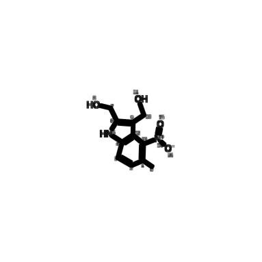 Cc1ccc2[nH]c(CO)c(CO)c2c1[N+](=O)[O-]